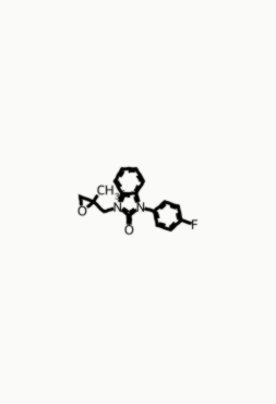 CC1(Cn2c(=O)n(-c3ccc(F)cc3)c3ccccc32)CO1